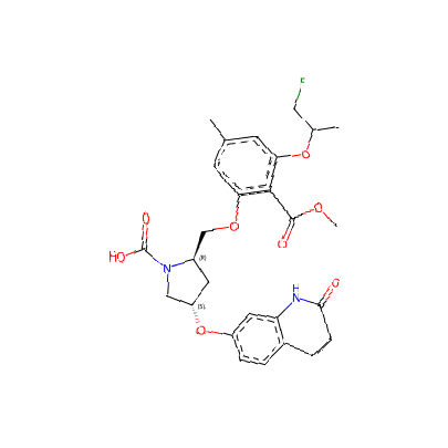 COC(=O)c1c(OC[C@H]2C[C@H](Oc3ccc4c(c3)NC(=O)CC4)CN2C(=O)O)cc(C)cc1OC(C)CF